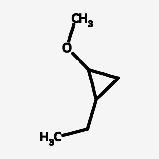 CCC1CC1OC